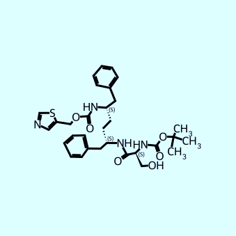 CC(C)(C)OC(=O)N[C@@H](CO)C(=O)N[C@@H](CC[C@@H](Cc1ccccc1)NC(=O)OCc1cncs1)Cc1ccccc1